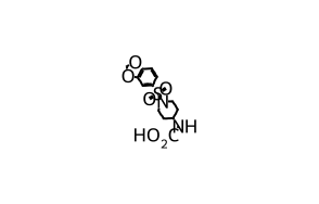 O=C(O)NC1CCN(S(=O)(=O)c2ccc3c(c2)OCO3)CC1